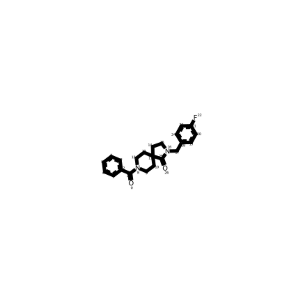 O=C(c1ccccc1)N1CCC2(CC1)CCN(Cc1ccc(F)cc1)C2=O